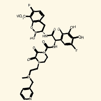 CN(CCN1CCN(C(=O)N[C@@H](C(=O)N[C@H]2Cc3ccc(F)c(C(=O)O)c3OB2O)c2cc(F)c(O)c(O)c2Cl)C(=O)C1=O)Cc1cccnc1